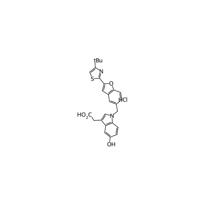 CC(C)(C)c1csc(-c2cc3cc(Cn4cc(CC(=O)O)c5cc(O)ccc54)ccc3o2)n1.Cl